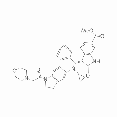 COC(=O)c1ccc2c(c1)NC(=O)/C2=C(/c1ccccc1)N(c1ccc2c(c1)CCN2C(=O)CN1CCOCC1)C1CC1